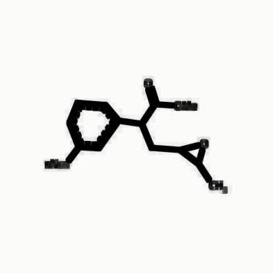 CCCCCCCCCc1cccc(C(CC2OC2C)C(=O)OC)c1